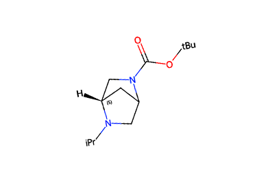 CC(C)N1CC2C[C@H]1CN2C(=O)OC(C)(C)C